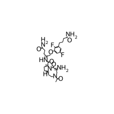 CC(=O)N1CC[C@H]2CC[C@@H](C(=O)N[C@@H](CCC(N)=O)COc3cc(F)cc(CCCC(N)=O)c3F)N2C(=O)[C@@H](N)C1